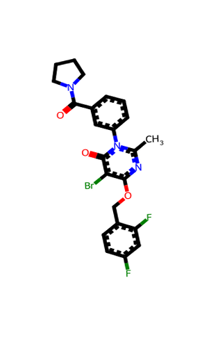 Cc1nc(OCc2ccc(F)cc2F)c(Br)c(=O)n1-c1cccc(C(=O)N2CCCC2)c1